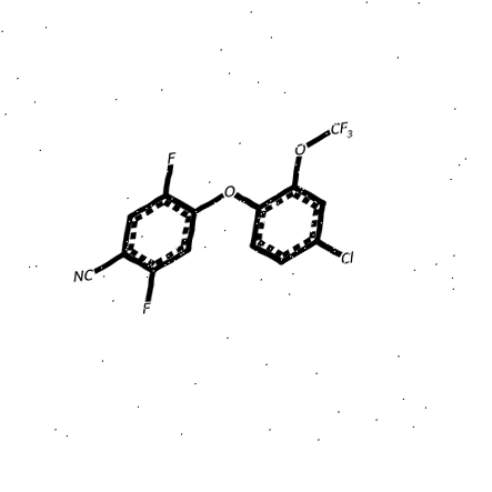 N#Cc1cc(F)c(Oc2ccc(Cl)cc2OC(F)(F)F)cc1F